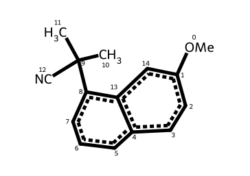 COc1ccc2cccc(C(C)(C)C#N)c2c1